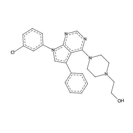 OCCN1CCN(c2ncnc3c2c(-c2ccccc2)cn3-c2cccc(Cl)c2)CC1